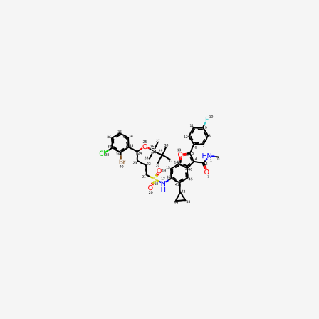 CNC(=O)c1c(-c2ccc(F)cc2)oc2cc(NS(=O)(=O)CCCC(O[Si](C)(C)C(C)(C)C)c3cccc(Cl)c3Br)c(C3CC3)cc12